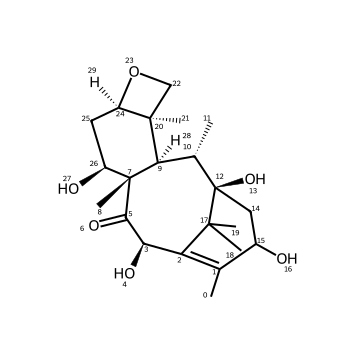 CC1=C2[C@@H](O)C(=O)[C@@]3(C)[C@H]([C@H](C)[C@](O)(CC1O)C2(C)C)[C@]1(C)CO[C@@H]1C[C@@H]3O